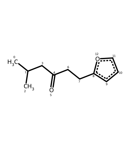 CC(C)CC(=O)CCc1ccco1